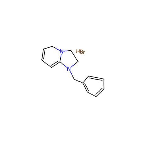 Br.C1=CCN2CCN(Cc3ccccc3)C2=C1